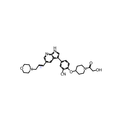 N#Cc1cc(-c2c[nH]c3ncc(/C=C/CN4CCOCC4)cc23)ccc1OC1CCN(C(=O)CO)CC1